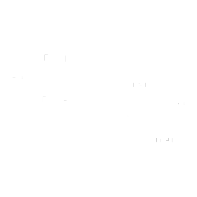 CCCCC(SCCCC(F)(F)C(F)(F)C(F)(F)F)C(=O)OCC(C)C